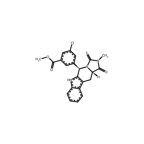 COC(=O)c1cc(Cl)cc([C@@H]2c3[nH]c4ccccc4c3C[C@H]3C(=O)N(C)C(=S)N23)c1